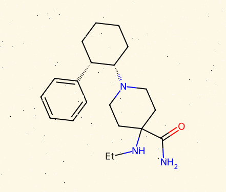 CCNC1(C(N)=O)CCN([C@H]2CCCC[C@H]2c2ccccc2)CC1